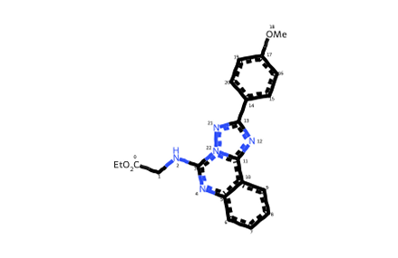 CCOC(=O)CNc1nc2ccccc2c2nc(-c3ccc(OC)cc3)nn12